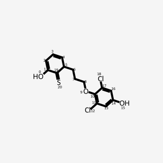 OC1=CC=CC(CCCOc2c(Cl)cc(O)cc2Cl)C1=S